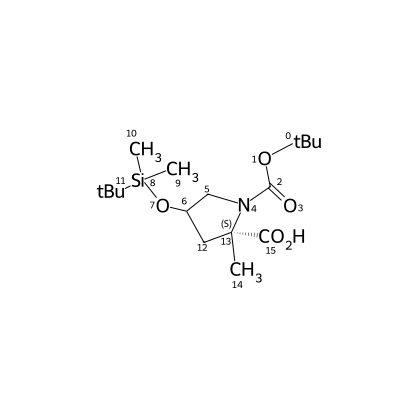 CC(C)(C)OC(=O)N1CC(O[Si](C)(C)C(C)(C)C)C[C@@]1(C)C(=O)O